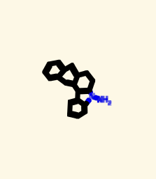 Nn1c2c(c3ccccc31)-c1cc3ccccc3cc1CC2